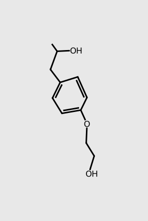 CC(O)Cc1ccc(OCCO)cc1